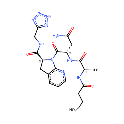 CC(C)[C@H](NC(=O)CCC(=O)O)C(=O)N[C@@H](CC(N)=O)C(=O)N1c2ncccc2C[C@H]1C(=O)NCc1nn[nH]n1